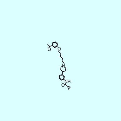 CC(=O)c1cccc(OCCCCCCN2CCC(c3cccc(NC(=O)C4CC4)c3)CC2)c1